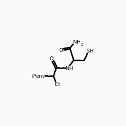 CCCC(C)C(CC)C(=O)NC(CS)C(N)=O